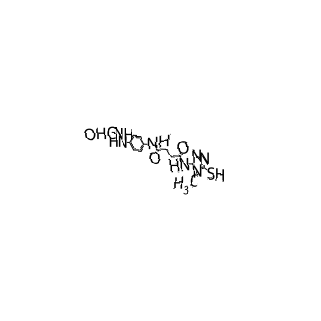 Cn1c(S)nnc1NC(=O)CCC(=O)Nc1ccc(NNC=O)cc1